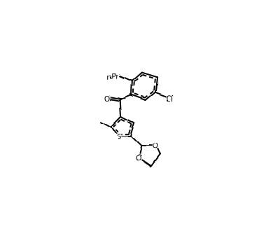 CCCc1ccc(Cl)cc1C(=O)c1cc(C2OCCO2)sc1C